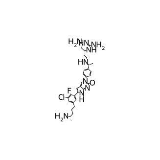 C[C@H](N)CCCc1cc(Cl)c(F)c(-c2cc3cn(-c4ccc([C@H](C)NCC[C@H](CCN)NC(=N)N)cc4)c(=O)nc3[nH]2)c1